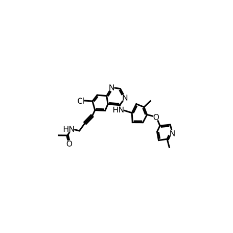 CC(=O)NCC#Cc1cc2c(Nc3ccc(Oc4ccc(C)nc4)c(C)c3)ncnc2cc1Cl